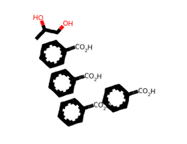 CC(O)CO.O=C(O)c1ccccc1.O=C(O)c1ccccc1.O=C(O)c1ccccc1.O=C(O)c1ccccc1